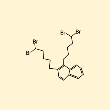 BrC(Br)CCCCc1ccc2ccccc2c1CCCCC(Br)Br